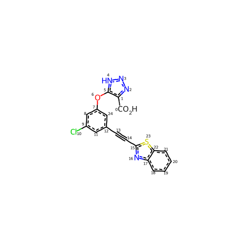 O=C(O)c1nn[nH]c1Oc1cc(Cl)cc(C#Cc2nc3ccccc3s2)c1